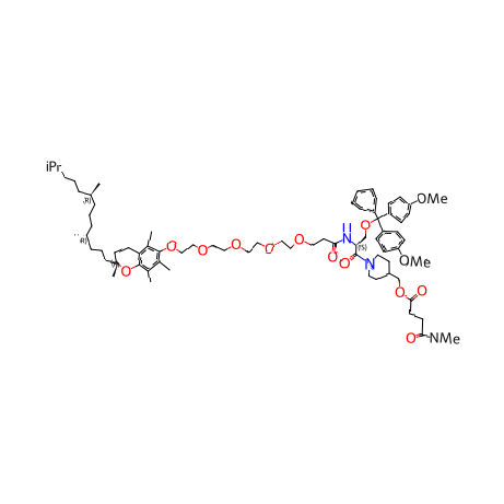 CNC(=O)CCC(=O)OCC1CCN(C(=O)[C@H](COC(c2ccccc2)(c2ccc(OC)cc2)c2ccc(OC)cc2)NC(=O)CCOCCOCCOCCOCCOc2c(C)c(C)c3c(c2C)CC[C@@](C)(CCC[C@H](C)CCC[C@H](C)CCCC(C)C)O3)CC1